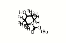 [2H]C1([2H])C(O)C([2H])([2H])C([2H])([2H])N(C(=O)OC(C)(C)C)C1([2H])[2H]